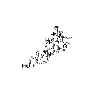 CCCc1nc2c(C(=O)N3CCC(O)CC3)cccc2n1Cc1ccc2c(c1)COc1ccccc1C2=C(C)c1noc(=O)[nH]1